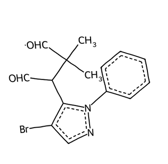 CC(C)([C]=O)C(C=O)c1c(Br)cnn1-c1ccccc1